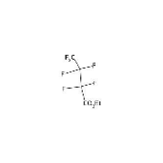 CCOC(=O)C(F)(F)C(F)(F)C(F)(F)F